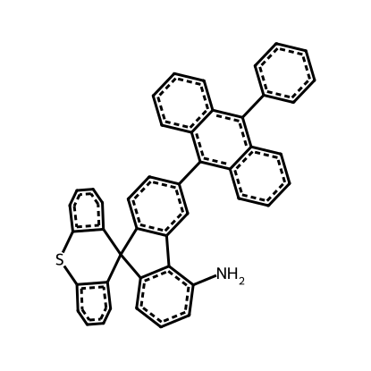 Nc1cccc2c1-c1cc(-c3c4ccccc4c(-c4ccccc4)c4ccccc34)ccc1C21c2ccccc2Sc2ccccc21